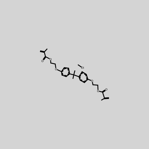 C=C(C)C(=O)OCCOc1ccc(C(C)(C)c2ccc(OCCOC(=O)C(=C)C)cc2)cc1.CCC